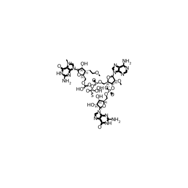 COCC[C@H]1[C@@H](O)[C@H](n2c[n+](C)c3c(=O)[nH]c(N)nc32)O[C@@H]1COP(=O)(O)OP(O)(=S)OP(=O)(O)OC[C@H]1O[C@@H](n2cnc3c(N)ncnc32)[C@H](OC)[C@@H]1OP(=O)([O-])OC[C@H]1O[C@@H](n2cnc3c(=O)[nH]c(N)nc32)[C@H](O)[C@@H]1O